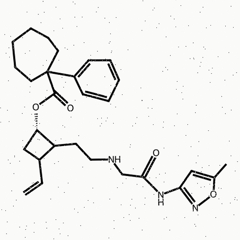 C=CC1C[C@H](OC(=O)C2(c3ccccc3)CCCCCC2)C1CCNCC(=O)Nc1cc(C)on1